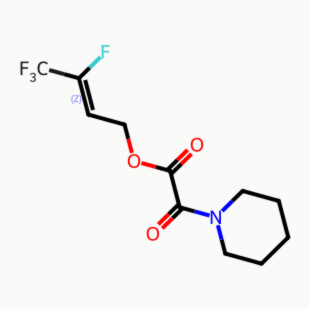 O=C(OC/C=C(\F)C(F)(F)F)C(=O)N1CCCCC1